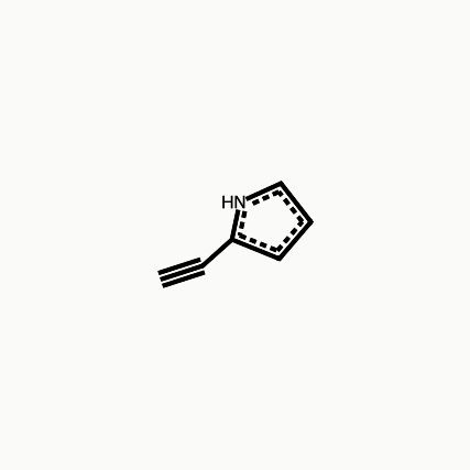 C#Cc1ccc[nH]1